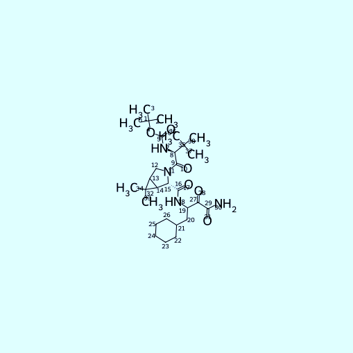 CC(C)(C)OC(=O)N[C@H](C(=O)N1CC2C([C@H]1C(=O)NC(CC1CCCCC1)C(=O)C(N)=O)C2(C)C)C(C)(C)C